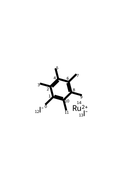 Cc1c(C)c(C)c(C)c(C)c1C.[I-].[I-].[Ru+2]